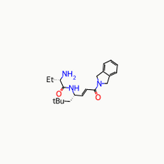 CC[C@H](N)C(=O)N[C@H](C=CC(=O)N1Cc2ccccc2C1)CC(C)(C)C